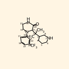 CC(C)(C1CCCNC1)C1C(=O)NCCN1c1cccc(C(F)(F)F)c1